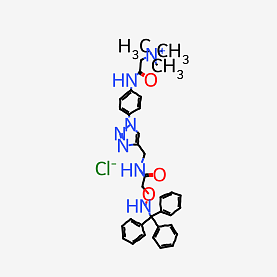 C[N+](C)(C)CC(=O)Nc1ccc(-n2cc(CNC(=O)CONC(c3ccccc3)(c3ccccc3)c3ccccc3)nn2)cc1.[Cl-]